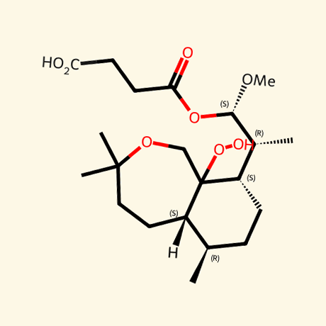 CO[C@@H](OC(=O)CCC(=O)O)[C@H](C)[C@@H]1CC[C@@H](C)[C@@H]2CCC(C)(C)OCC12OO